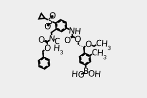 CCO[C@@H](COC(=O)Nc1ccc(S(=O)(=O)C2CC2)c(CN(C)C(=O)OCc2ccccc2)c1)c1ccc(B(O)O)cc1C